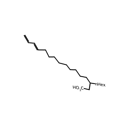 C=CC=CCCCCCCCCCC(CCCCCC)CC(=O)O